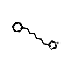 c1ccc(CCCCCCc2c[nH]cn2)cc1